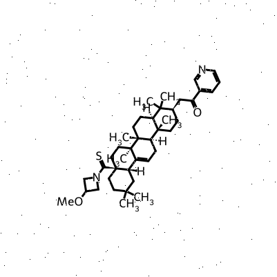 COC1CN(C(=S)[C@]23CCC(C)(C)C[C@H]2C2=CC[C@@H]4[C@@]5(C)CC[C@H](CC(=O)c6cccnc6)C(C)(C)[C@@H]5CC[C@@]4(C)[C@]2(C)CC3)C1